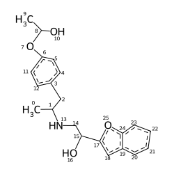 CC(Cc1ccc(OC(C)O)cc1)NCC(O)c1cc2ccccc2o1